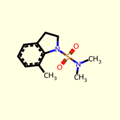 Cc1cccc2c1N(S(=O)(=O)N(C)C)CC2